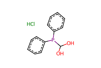 Cl.OC(O)P(c1ccccc1)c1ccccc1